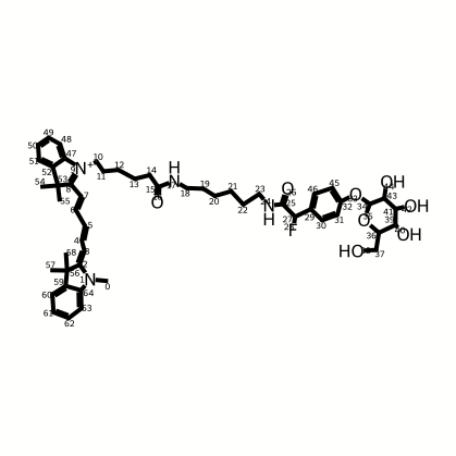 CN1/C(=C/C=C/C=C/C2=[N+](CCCCCC(=O)NCCCCCCNC(=O)C(F)c3ccc(OC4OC(CO)C(O)C(O)C4O)cc3)c3ccccc3C2(C)C)C(C)(C)c2ccccc21